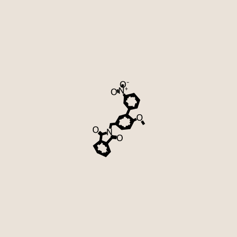 COc1ccc(CN2C(=O)c3ccccc3C2=O)cc1-c1cccc([N+](=O)[O-])c1